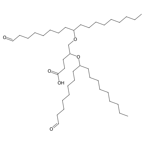 CCCCCCCCCC(CCCCCCCC=O)OCC(CCC(=O)O)OC(CCCCCCCC=O)CCCCCCCCC